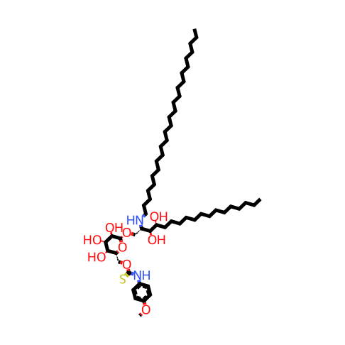 CCCCCCCCCCCCCCCCCCCCCCCCCCN[C@@H](CO[C@H]1O[C@H](COC(=S)Nc2ccc(OC)cc2)[C@H](O)[C@H](O)[C@H]1O)[C@H](O)[C@H](O)CCCCCCCCCCCCCC